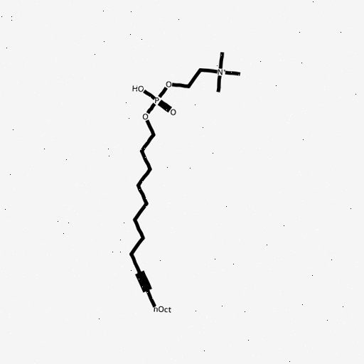 CCCCCCCCC#CCCCCCCCCOP(=O)(O)OCC[N+](C)(C)C